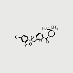 CC1(C)CCCN(C(=O)c2cccc(CS(=O)(=O)c3ccc(Cl)cc3Cl)n2)C1